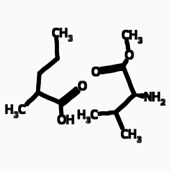 CCCC(C)C(=O)O.COC(=O)[C@@H](N)C(C)C